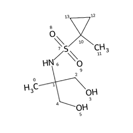 CC(CO)(CO)NS(=O)(=O)C1(C)CC1